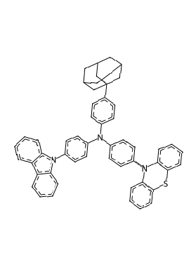 c1ccc2c(c1)Sc1ccccc1N2c1ccc(N(c2ccc(-n3c4ccccc4c4ccccc43)cc2)c2ccc(C34CC5CC(CC(C5)C3)C4)cc2)cc1